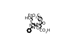 CCOC(=O)N1CCN(C(=O)C(CCC(=O)O)NC(=O)c2cc(SC[C@H](C)O)nc(-c3ccccc3)n2)CC1